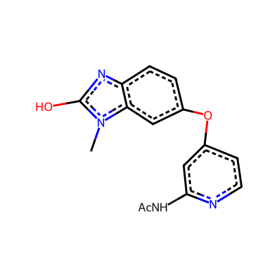 CC(=O)Nc1cc(Oc2ccc3nc(O)n(C)c3c2)ccn1